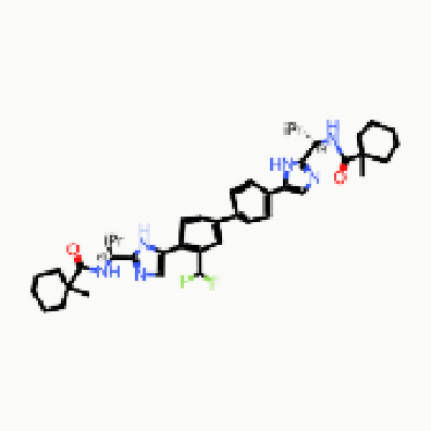 CC(C)[C@H](NC(=O)C1(C)CCCCC1)c1ncc(-c2ccc(-c3ccc(-c4cnc([C@@H](NC(=O)C5(C)CCCCC5)C(C)C)[nH]4)c(C(F)F)c3)cc2)[nH]1